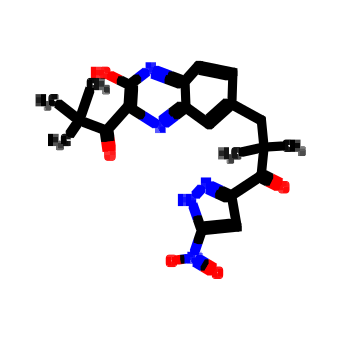 CC(C)(C)C(=O)c1nc2cc(CC(C)(C)C(=O)c3cc([N+](=O)[O-])[nH]n3)ccc2nc1O